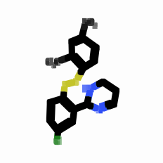 O=[N+]([O-])c1ccc(SSc2ccc(Cl)cc2C2N=CCCN2)c(C(Cl)(Cl)Cl)c1